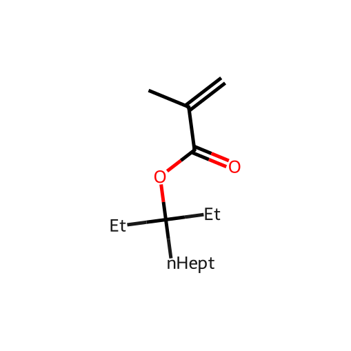 C=C(C)C(=O)OC(CC)(CC)CCCCCCC